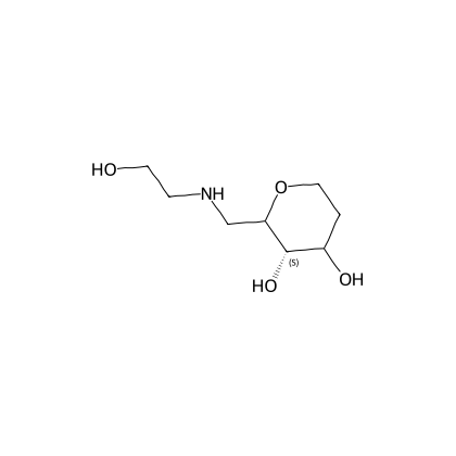 OCCNCC1OCCC(O)[C@@H]1O